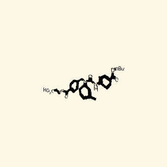 CCCCOC(=O)c1ccc(NC(=O)N(Cc2ccc(C(=O)NCCC(=O)O)cc2)C2CCCC(C)C2)cc1